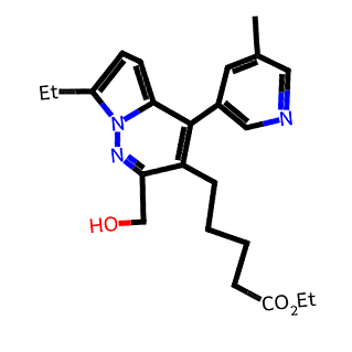 CCOC(=O)CCCCc1c(CO)nn2c(CC)ccc2c1-c1cncc(C)c1